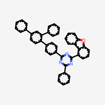 c1ccc(-c2ccc(-c3ccc(-c4nc(-c5ccccc5)nc(-c5cccc6oc7ccccc7c56)n4)cc3)c(-c3ccccc3)c2)cc1